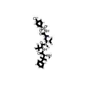 CN[C@H](C(=O)N[C@H](C(=O)N(C)[C@H](/C=C(\C)C(=O)NS(=O)(=O)c1ccc(Cl)cc1)C(C)C)C(C)(C)C)C(C)(C)c1ccccc1